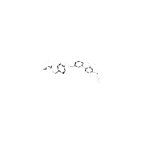 [C-]#[N+]CNC(=O)c1ccc(-c2cccc(COc3ccc(Cn4oc(=O)[nH]c4=O)cc3)c2)c(C)c1